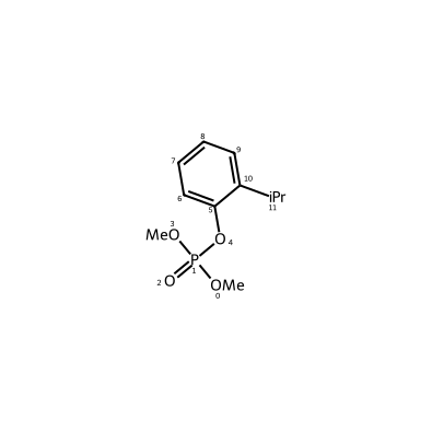 COP(=O)(OC)Oc1ccccc1C(C)C